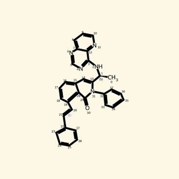 C[C@H](Nc1ncnc2cccnc12)c1cc2cccc(/C=C/c3ccccc3)c2c(=O)n1-c1ccccc1